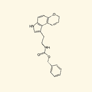 O=C(NCCc1c[nH]c2ccc3c(c12)C=CCO3)OCc1ccccc1